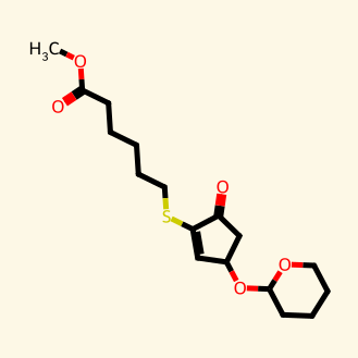 COC(=O)CCCCCSC1=CC(OC2CCCCO2)CC1=O